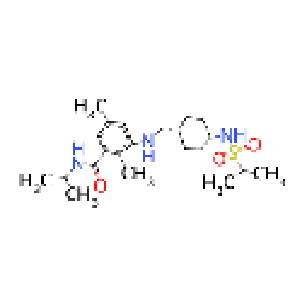 Cc1cc(NC[C@H]2CC[C@H](NS(=O)(=O)C(C)C)CC2)c(C)c(C(=O)NC(C)C)c1